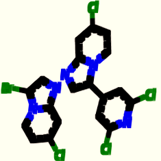 Clc1ccn2c(-c3cc(Cl)nc(Cl)c3)cnc2c1.Clc1ccn2c(Br)cnc2c1